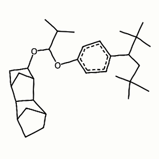 CC(C)C(Oc1ccc(C(CC(C)(C)C)C(C)(C)C)cc1)OC1CC2CC1C1C3CCC(C3)C21